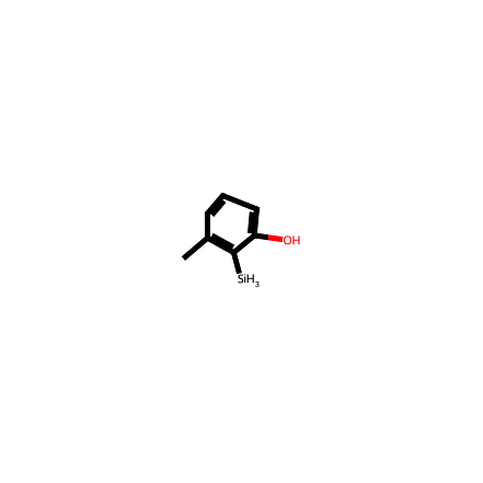 Cc1cccc(O)c1[SiH3]